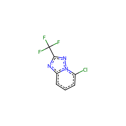 FC(F)(F)c1nc2cccc(Cl)n2n1